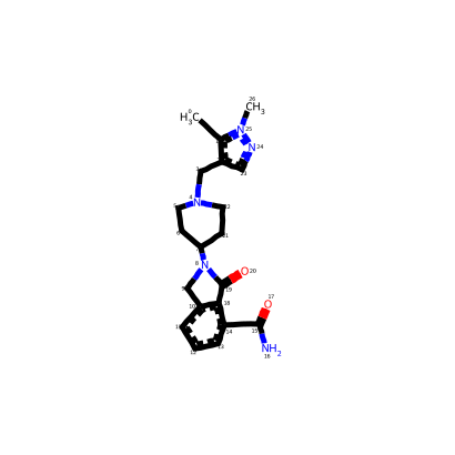 Cc1c(CN2CCC(N3Cc4cccc(C(N)=O)c4C3=O)CC2)cnn1C